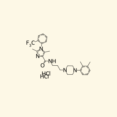 Cc1cccc(N2CCN(CCCNC(=O)c3nc(C)n(-c4ccccc4C(F)(F)F)c3C)CC2)c1C.Cl.Cl